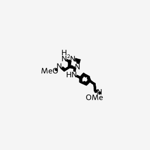 CON=CCc1ccc(Nc2ncnc(N)c2C=NOC)cc1